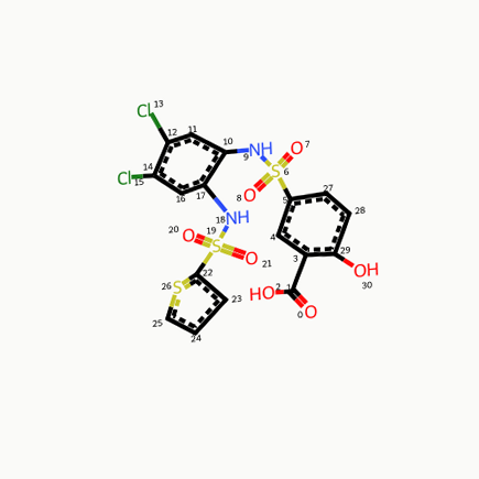 O=C(O)c1cc(S(=O)(=O)Nc2cc(Cl)c(Cl)cc2NS(=O)(=O)c2cccs2)ccc1O